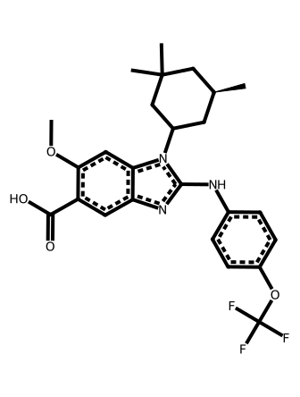 COc1cc2c(cc1C(=O)O)nc(Nc1ccc(OC(F)(F)F)cc1)n2C1C[C@H](C)CC(C)(C)C1